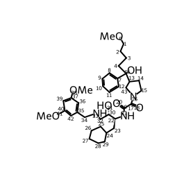 COCCCCC(O)(c1ccccc1)C1CCN(C(=O)C(=O)N[C@@H](CC2CCCCC2)[C@@H](O)CNCc2cc(OC)cc(OC)c2)C1